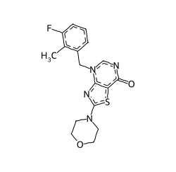 Cc1c(F)cccc1Cn1cnc(=O)c2sc(N3CCOCC3)nc21